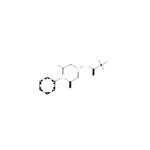 CC1CN(OC(=O)C(F)(F)F)CC(=O)N1c1ccccc1